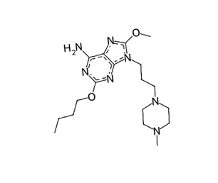 CCCCOc1nc(N)c2nc(OC)n(CCCN3CCN(C)CC3)c2n1